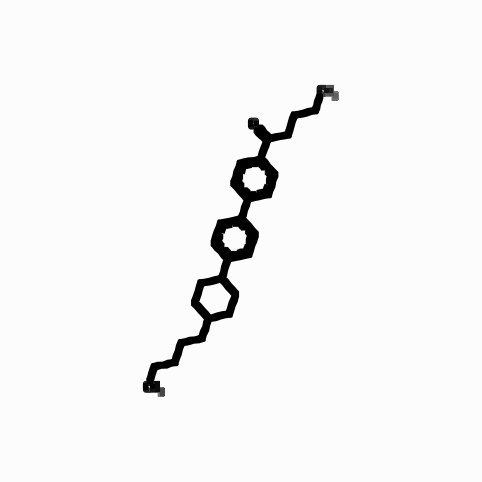 CCCCCC1CCC(c2ccc(-c3ccc(C(=O)CCCC)cc3)cc2)CC1